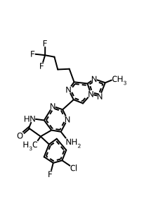 Cc1nc2c(CCCC(F)(F)F)nc(-c3nc(N)c4c(n3)NC(=O)C4(C)c3ccc(Cl)c(F)c3)cn2n1